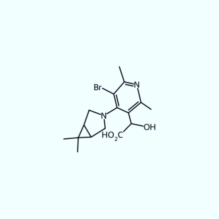 Cc1nc(C)c(C(O)C(=O)O)c(N2CC3C(C2)C3(C)C)c1Br